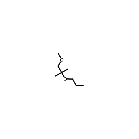 [CH2]OCC(C)(C)OCCC